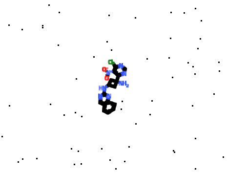 NC1(c2ncnc(Cl)c2[N+](=O)[O-])CC(Nc2ncc3ccccc3n2)C1